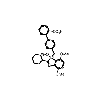 CCO[N+]1(Cc2ccc(-c3ccccc3C(=O)O)cc2)C(C2CCCCC2)=Nc2c(OC)nnc(OC)c21